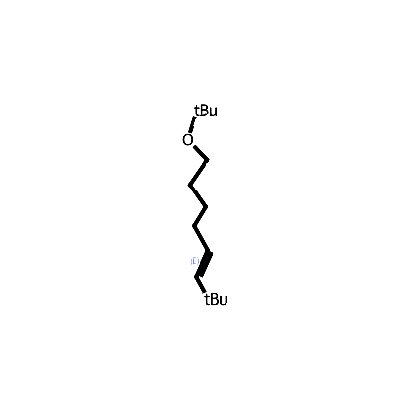 CC(C)(C)/C=C/CCCCOC(C)(C)C